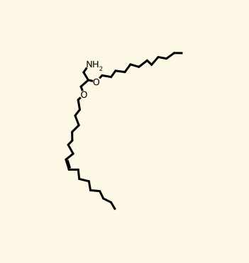 CCCCCCCC/C=C\CCCCCCCCOCC(CN)OCCCCCCCCCCCC